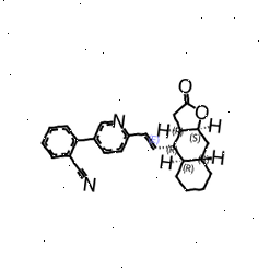 N#Cc1ccccc1-c1ccc(/C=C/[C@H]2[C@@H]3CCCC[C@H]3C[C@@H]3OC(=O)C[C@H]23)nc1